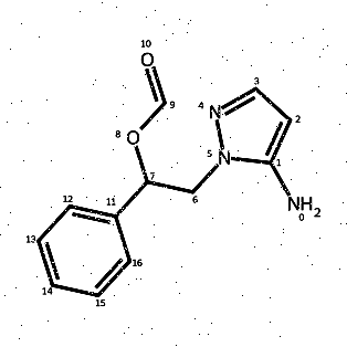 Nc1ccnn1CC(OC=O)c1ccccc1